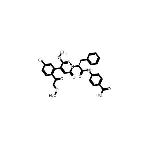 COCC(=O)c1ccc(Cl)cc1-c1cc(=O)n([C@@H](Cc2ccccc2)C(=O)Nc2ccc(C(=O)O)cc2)nc1OC